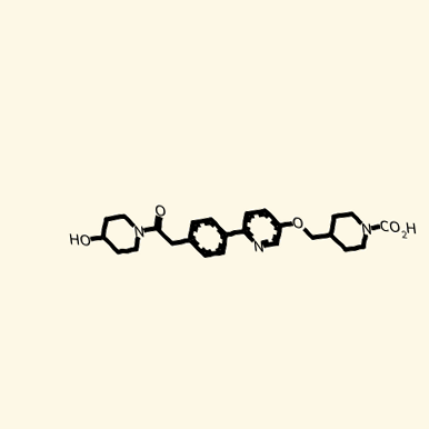 O=C(O)N1CCC(COc2ccc(-c3ccc(CC(=O)N4CCC(O)CC4)cc3)nc2)CC1